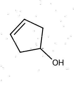 O[C]1CC=CC1